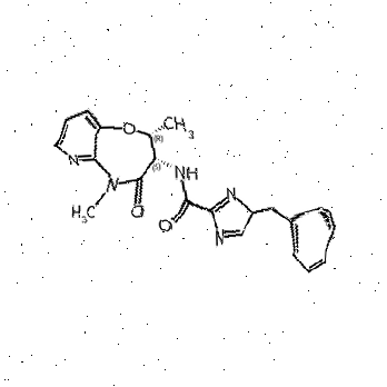 C[C@H]1Oc2cccnc2N(C)C(=O)[C@H]1NC(=O)C1=NC(Cc2ccccc2)C=N1